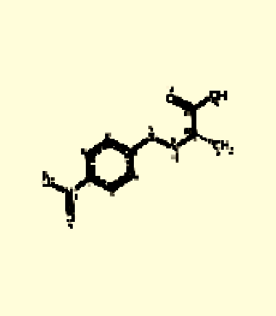 C[C@H](NSc1ccc([N+](=O)[O-])cc1)C(=O)O